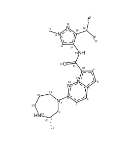 C[C@H]1CN(c2ccc3ccc(C(=O)Nc4cn(C)nc4C(F)F)n3n2)CCCN1